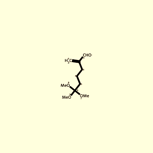 C=C([C]=O)CCCC(OC)(OC)OC